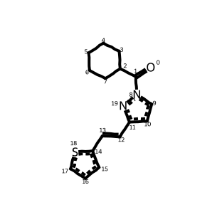 O=C(C1CCCCC1)n1ccc(C=Cc2cccs2)n1